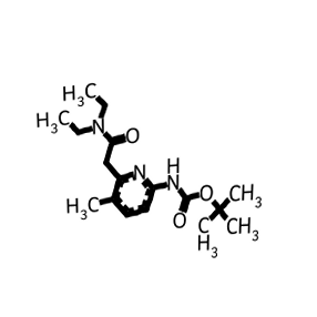 CCN(CC)C(=O)Cc1nc(NC(=O)OC(C)(C)C)ccc1C